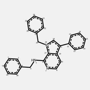 c1ccc(CNc2nccc3c(-c4ccccc4)cn(Cc4ccccc4)c23)cc1